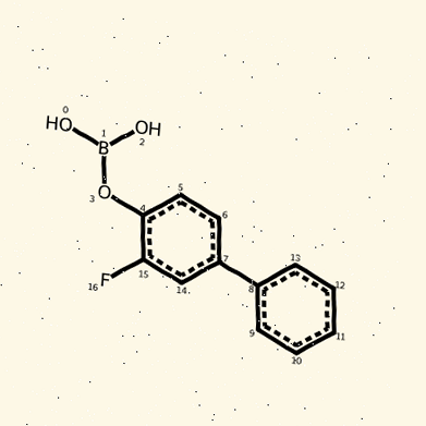 OB(O)Oc1ccc(-c2ccccc2)cc1F